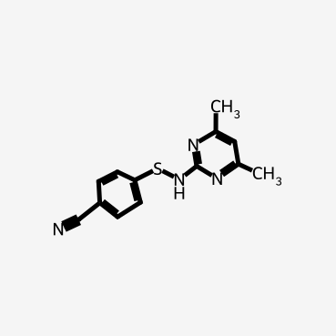 Cc1cc(C)nc(NSc2ccc(C#N)cc2)n1